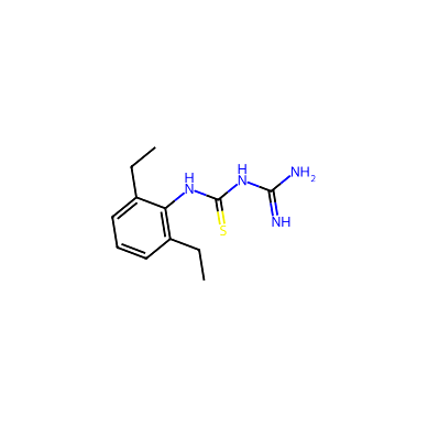 CCc1cccc(CC)c1NC(=S)NC(=N)N